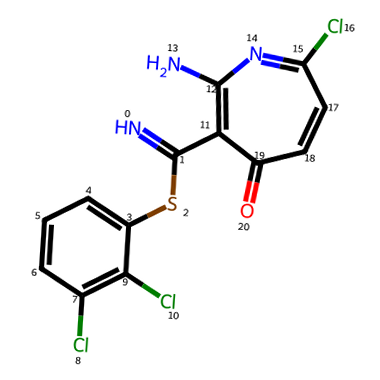 N=C(Sc1cccc(Cl)c1Cl)c1c(N)nc(Cl)ccc1=O